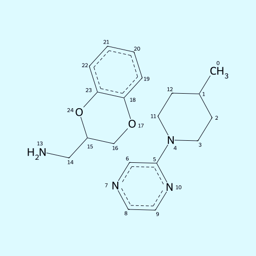 CC1CCN(c2cnccn2)CC1.NCC1COc2ccccc2O1